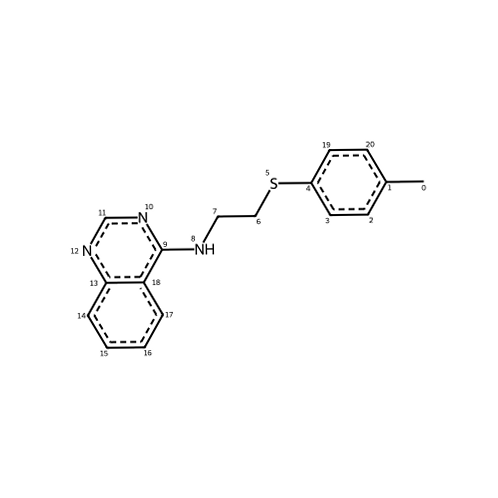 Cc1ccc(SCCNc2ncnc3ccccc23)cc1